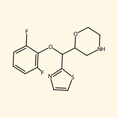 Fc1cccc(F)c1OC(c1nccs1)C1CNCCO1